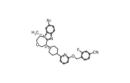 CC(=O)c1ccc2nc3n(c2c1)[C@@H](C)COC[C@@H]3N1CCC(c2cccc(OCc3ccc(C#N)cc3F)n2)CC1